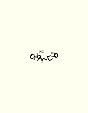 Cc1c(C(=O)CCN2CCN(c3ccccc3O)CC2)cnn1-c1ncccn1.Cl